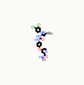 CCNC(=O)c1cc(Oc2ccc(NC(=O)Nc3cc(C(C)(C)C)nn3-c3ccc(Cl)c(Cl)c3)cc2)ccn1